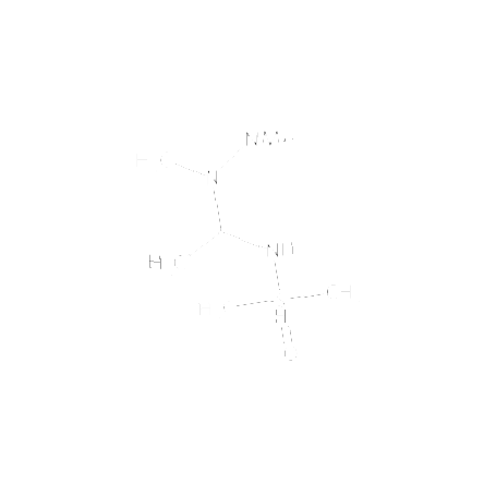 CNN(C)C(C)N[SH](C)(C)=O